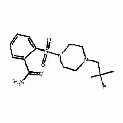 CC(C)(F)CN1CCN(S(=O)(=O)c2ccccc2C(N)=O)CC1